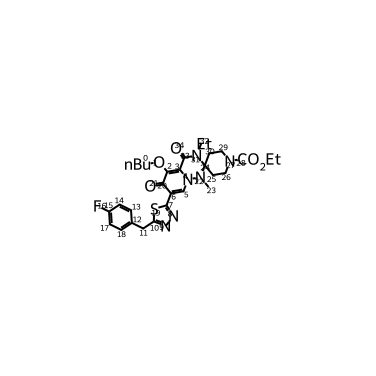 CCCCOc1c2n(cc(-c3nnc(Cc4ccc(F)cc4)s3)c1=O)N(C)C1(CCN(C(=O)OCC)CC1)N(CC)C2=O